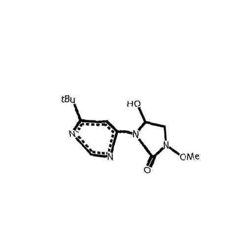 CON1CC(O)N(c2cc(C(C)(C)C)ncn2)C1=O